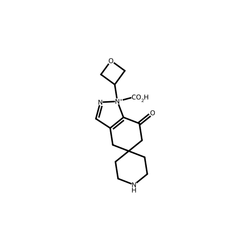 O=C1CC2(CCNCC2)CC2=C1[N+](C(=O)O)(C1COC1)N=C2